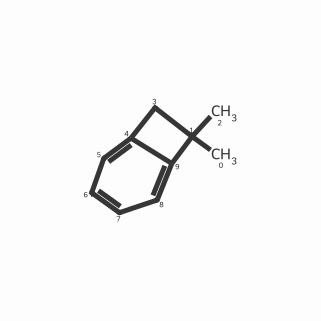 CC1(C)Cc2c[c]ccc21